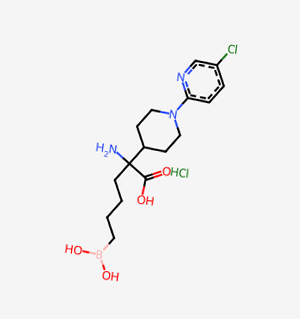 Cl.NC(CCCCB(O)O)(C(=O)O)C1CCN(c2ccc(Cl)cn2)CC1